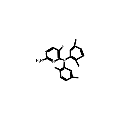 Cc1ccc(C)c(N(c2cc(C)ccc2C)c2nc(N)ncc2F)c1